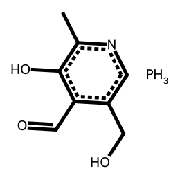 Cc1ncc(CO)c(C=O)c1O.P